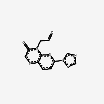 O=CCn1c(=O)cnc2ccc(-n3cncn3)nc21